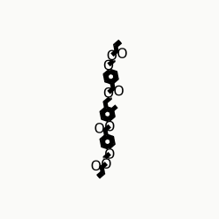 C=CC(=O)OCOc1ccc(C(=O)OCCc2ccc(OC(=O)c3ccc(OCOC(=O)C=C)cc3)cc2C)cc1